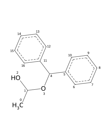 CC(O)OC(c1ccccc1)c1ccccc1